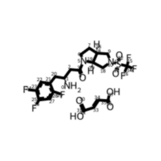 N[C@@H](CC(=O)N1CC[C@H]2CN(S(=O)(=O)C(F)(F)F)C[C@H]21)Cc1cc(F)c(F)cc1F.O=C(O)C=CC(=O)O